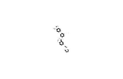 Cc1cc(Nc2ncnc3ccc(OCCN4CCCC4=O)cc23)ccc1Oc1ccc2c(c1)ncn2C